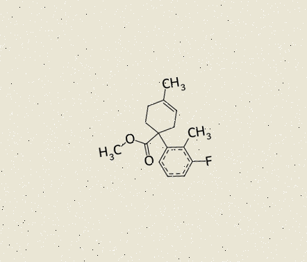 COC(=O)C1(c2cccc(F)c2C)CC=C(C)CC1